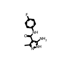 Cc1n[nH]c(N)c1C(=O)Nc1ccc(F)cc1